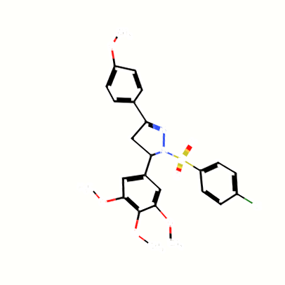 COc1ccc(C2=NN(S(=O)(=O)c3ccc(Cl)cc3)C(c3cc(OC)c(OC)c(OC)c3)C2)cc1